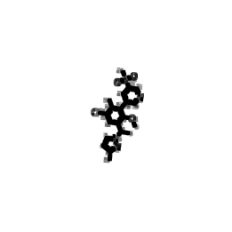 COc1c(C(C)n2ccc(C)n2)cc(Cl)c(C)c1-c1cncc(S(C)(=O)=O)c1